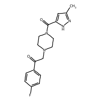 Cc1cc(C(=O)N2CCN(CC(=O)c3ccc(F)cc3)CC2)[nH]n1